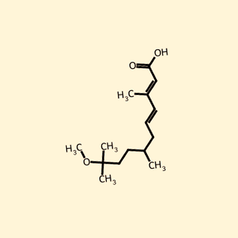 COC(C)(C)CCC(C)C/C=C/C(C)=C/C(=O)O